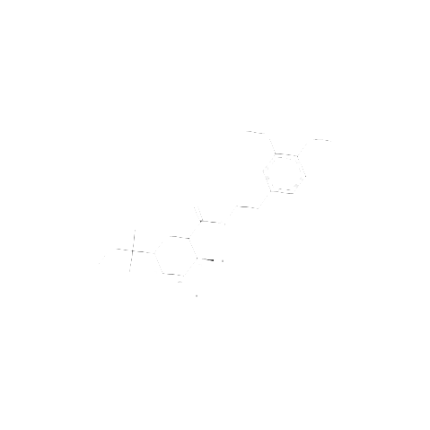 COc1ccc(CCNC(=O)C2OC(C(C)(C)OC)[C@@H](O)[C@@H](O)[C@@H]2O)cc1OC